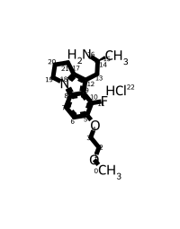 COCCOc1ccc2c(c1F)c(C[C@H](C)N)c1n2CCC1.Cl